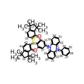 CC1(C)CC(C)(C)c2c1ccc1c2Oc2cc(N3c4ccccc4N(c4ccccc4)c4ccccc43)cc3c2[SH]1c1ccc2c(c1O3)C(C)(C)CC2(C)C